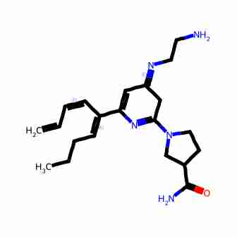 C=C/C=C\C(=C/CCC)C1=C/C(=N/CCN)CC(N2CCC(C(N)=O)C2)=N1